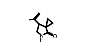 C=C(C)C1CNC(=O)C12CC2